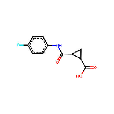 O=C(O)C1CC1C(=O)Nc1ccc(F)cc1